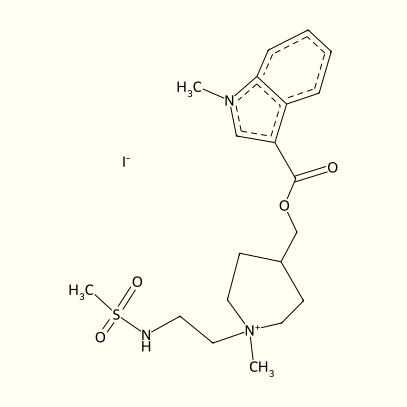 Cn1cc(C(=O)OCC2CC[N+](C)(CCNS(C)(=O)=O)CC2)c2ccccc21.[I-]